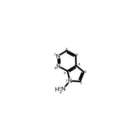 Nn1ccc2ccnnc21